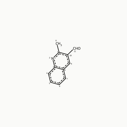 Cc1nc2ccccc2cc1C=O